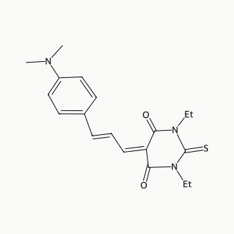 CCN1C(=O)C(=C/C=C/c2ccc(N(C)C)cc2)C(=O)N(CC)C1=S